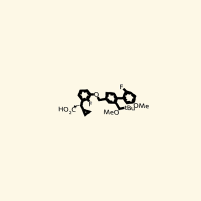 COc1ccc(F)c(-c2ccc(COc3cccc([C@@H](CC(=O)O)C4CC4)c3F)cc2[C@@H](OC)C(C)(C)C)c1